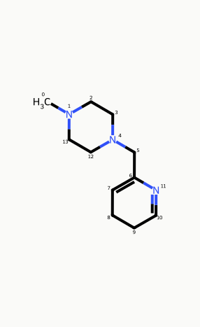 CN1CCN(CC2=CCCC=N2)CC1